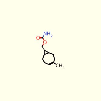 C/C1=C/CCC2C(CC1)[C@@H]2COC(N)=O